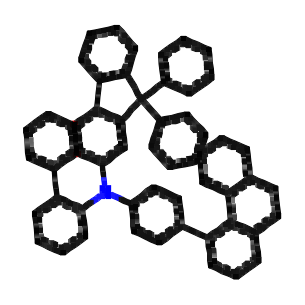 c1ccc(-c2ccccc2N(c2ccc(-c3cccc4ccc5ccccc5c34)cc2)c2ccc3c(c2)C(c2ccccc2)(c2ccccc2)c2ccccc2-3)cc1